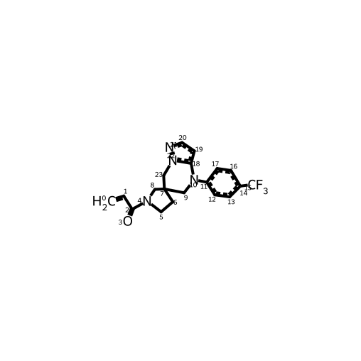 C=CC(=O)N1CCC2(C1)CN(c1ccc(C(F)(F)F)cc1)c1ccnn1C2